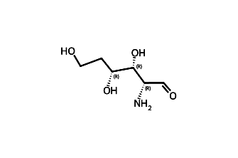 N[C@@H](C=O)[C@@H](O)[C@H](O)CCO